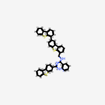 N/C(=N\C(NCc1cccc2c1sc1ccc(-c3cccc4c3sc3ccccc34)cc12)c1ccccc1)c1ccc2c(c1)sc1ccccc12